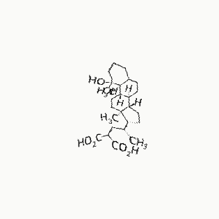 C[C@H](CC(C(=O)O)C(=O)O)[C@H]1CC[C@H]2[C@@H]3CCC4CCCC(O)(O)[C@]4(C)[C@H]3CC[C@]12C